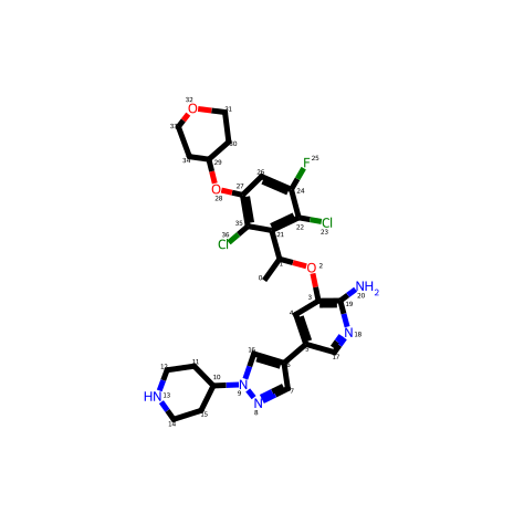 CC(Oc1cc(-c2cnn(C3CCNCC3)c2)cnc1N)c1c(Cl)c(F)cc(OC2CCOCC2)c1Cl